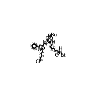 CCCCB1O[C@H]2C[C@@H](O1)[C@H](/C=C/[C@H](CCc1ccccc1)OC(=O)CCCCCCl)[C@H]2C/C=C\CCCC(=O)NCC